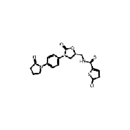 O=C(NC[C@H]1CN(c2ccc(N3CCCC3=O)cc2)C(=O)O1)C1=CCC(Cl)S1